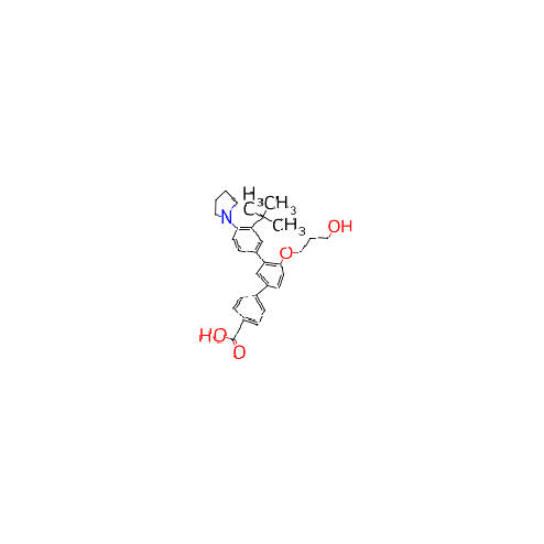 CC(C)(C)c1cc(-c2cc(-c3ccc(C(=O)O)cc3)ccc2OCCCO)ccc1N1CCCC1